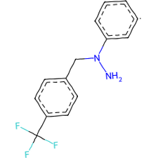 NN(Cc1ccc(C(F)(F)F)cc1)c1c[c]ccc1